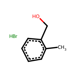 Br.Cc1ccccc1CO